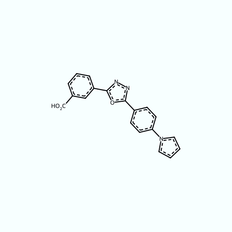 O=C(O)c1cccc(-c2nnc(-c3ccc(-n4cccc4)cc3)o2)c1